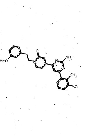 COc1cccc(CCn2ccc(-c3cc(-c4cccc(C#N)c4C)nc(N)n3)cc2=O)c1